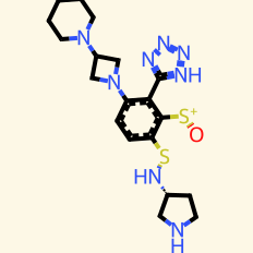 O=[S+]c1c(SN[C@@H]2CCNC2)ccc(N2CC(N3CCCCC3)C2)c1-c1nnn[nH]1